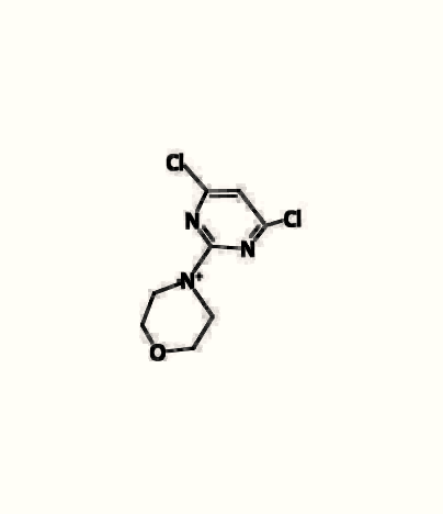 Clc1cc(Cl)nc([N+]2CCOCC2)n1